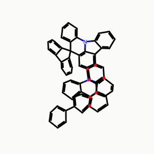 c1ccc(-c2ccc(-c3ccccc3N(c3cc4c5c(c3)c3ccccc3n5-c3ccccc3C43c4ccccc4-c4ccccc43)c3ccccc3-c3ccccc3-c3ccccc3)cc2)cc1